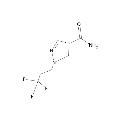 NC(=O)c1cnn(CCC(F)(F)F)c1